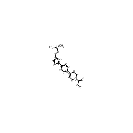 CN(C)CCn1cnc(-c2ccc(C3=CCN(C(=O)CCl)CC3)cc2)n1